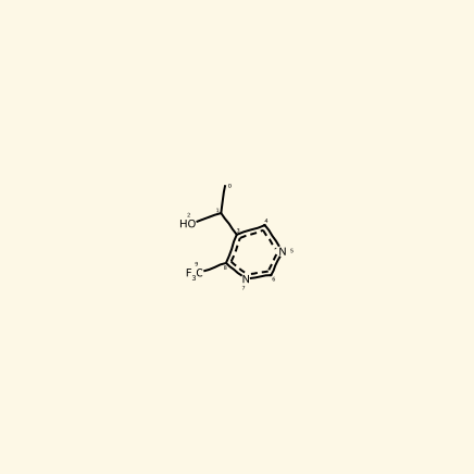 CC(O)c1cncnc1C(F)(F)F